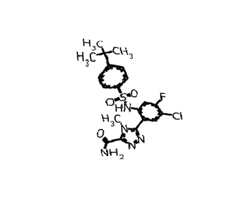 Cn1c(C(N)=O)nnc1-c1cc(Cl)c(F)cc1NS(=O)(=O)c1ccc(C(C)(C)C)cc1